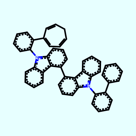 C1=CCC=CC(c2ccccc2-n2c3ccccc3c3c(-c4cccc5c4c4ccccc4n5-c4ccccc4-c4ccccc4)cccc32)=C1